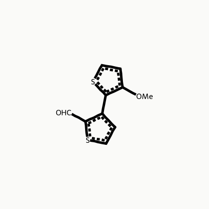 COc1ccsc1-c1ccsc1C=O